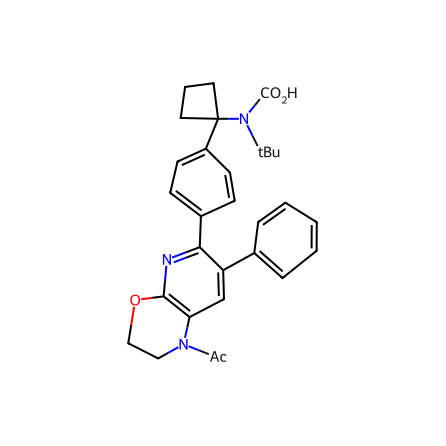 CC(=O)N1CCOc2nc(-c3ccc(C4(N(C(=O)O)C(C)(C)C)CCC4)cc3)c(-c3ccccc3)cc21